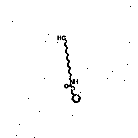 O=C(NCCCCCCCCCCCCO)OCc1ccccc1